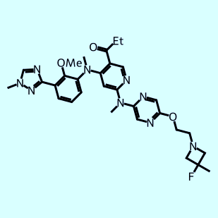 CCC(=O)c1cnc(N(C)c2cnc(OCCN3CC(C)(F)C3)cn2)cc1N(C)c1cccc(-c2ncn(C)n2)c1OC